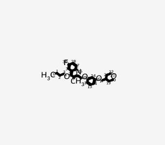 CCCCOc1c(C)c(COc2cccc(OCC3CCOCC3)c2)nc2ccc(F)cc12